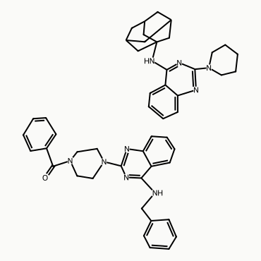 O=C(c1ccccc1)N1CCN(c2nc(NCc3ccccc3)c3ccccc3n2)CC1.c1ccc2c(NC34CC5CC(CC(C5)C3)C4)nc(N3CCCCC3)nc2c1